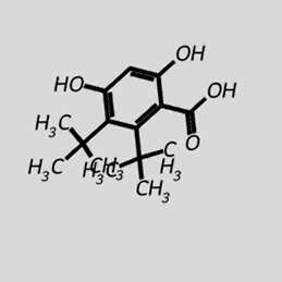 CC(C)(C)c1c(O)cc(O)c(C(=O)O)c1C(C)(C)C